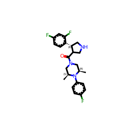 C[C@@H]1CN(C(=O)C2CNC[C@H]2c2ccc(F)cc2F)C[C@H](C)N1c1ccc(F)cc1